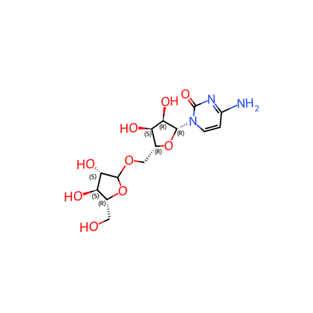 Nc1ccn([C@@H]2O[C@H](COC3O[C@H](CO)[C@@H](O)[C@@H]3O)[C@@H](O)[C@H]2O)c(=O)n1